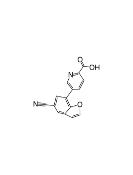 N#Cc1cc(-c2ccc(C(=O)O)nc2)c2occc2c1